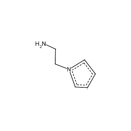 NCCn1c[c]cc1